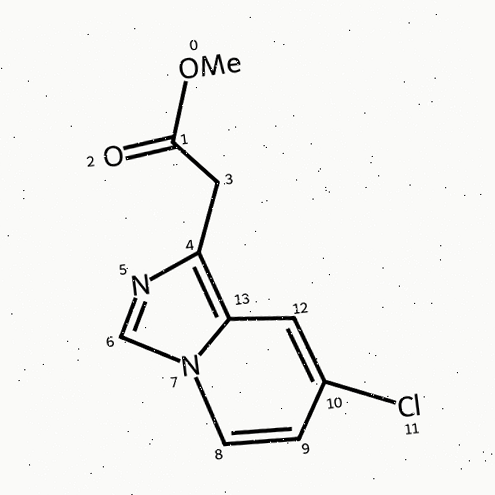 COC(=O)Cc1ncn2ccc(Cl)cc12